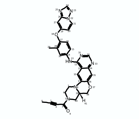 CC#CC(=O)N1CCN2c3cc4c(Nc5ccc(Oc6ccn7ncnc7c6)c(C)c5)ncnc4cc3OC[C@@H]2C1